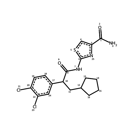 NC(=O)c1csc(NC(=O)C(CC2CCCC2)c2ccc(Cl)c(Cl)c2)n1